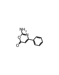 Nc1nc(-c2ccccc2)cc(=O)o1